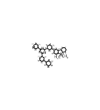 CC1(C)c2ccccc2-c2cc(-c3cccc(-c4nc(-c5cccnc5)nc(-c5cccc(-c6ccccc6)c5)n4)c3)ccc21